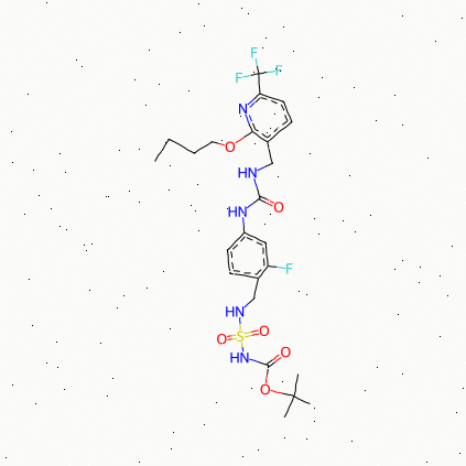 CCCCOc1nc(C(F)(F)F)ccc1CNC(=O)Nc1ccc(CNS(=O)(=O)NC(=O)OC(C)(C)C)c(F)c1